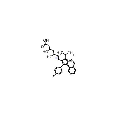 CC(C)c1c(/C=C/C(O)CC(O)CC(=O)O)c(-c2ccc(F)cc2)c2c3ccccc3cnn12